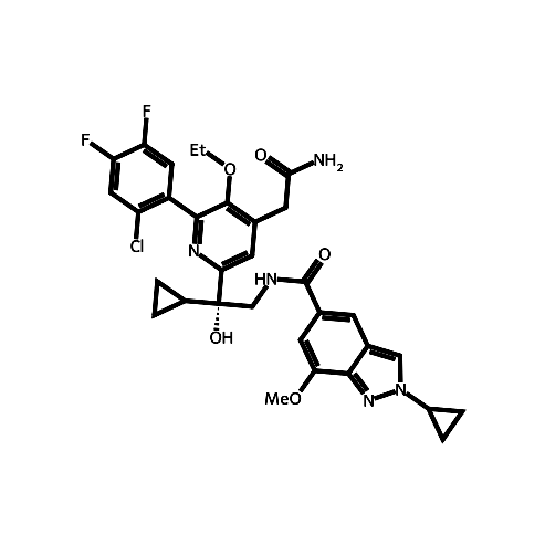 CCOc1c(CC(N)=O)cc([C@@](O)(CNC(=O)c2cc(OC)c3nn(C4CC4)cc3c2)C2CC2)nc1-c1cc(F)c(F)cc1Cl